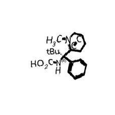 CN1CC2CCC1([C@](NC(=O)O)(c1ccccc1)C(C)(C)C)CC2